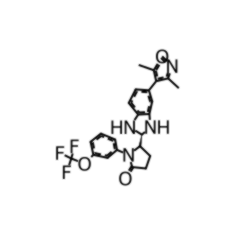 Cc1noc(C)c1-c1ccc2c(c1)N[C@@H](C1CCC(=O)N1c1cccc(OC(F)(F)F)c1)N2